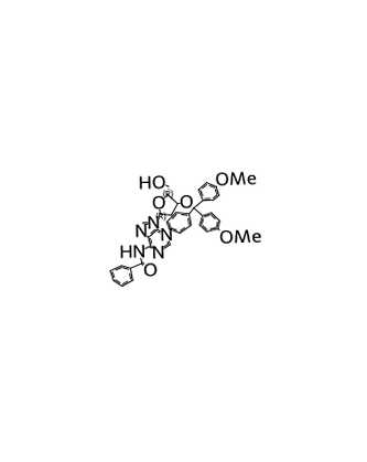 COc1ccc(C(OC2C[C@H](n3cnc4c(NC(=O)c5ccccc5)ncnc43)O[C@@H]2CO)(c2ccccc2)c2ccc(OC)cc2)cc1